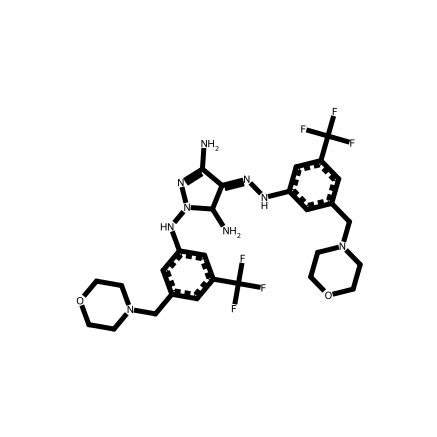 NC1=NN(Nc2cc(CN3CCOCC3)cc(C(F)(F)F)c2)C(N)C1=NNc1cc(CN2CCOCC2)cc(C(F)(F)F)c1